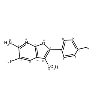 Cc1ccc(-c2oc3nc(N)c(I)cc3c2C(=O)O)cc1